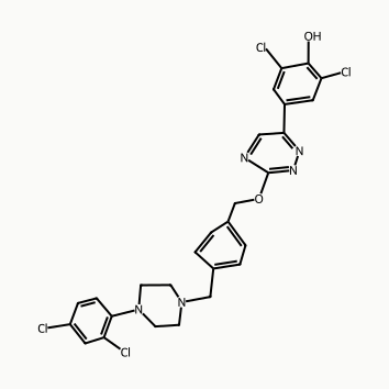 Oc1c(Cl)cc(-c2cnc(OCc3ccc(CN4CCN(c5ccc(Cl)cc5Cl)CC4)cc3)nn2)cc1Cl